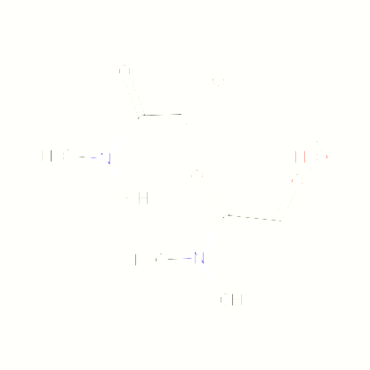 CN(C)C(=O)C=O.CN(C)C(=O)C=O.O